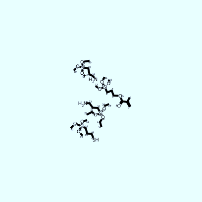 C=C(C)C(=O)OCCC[Si](OC)(OC)OC.CCO[Si](CCCN)(OCC)OCC.CO[Si](CCCN)(OC)OC.CO[Si](CCCS)(OC)OC